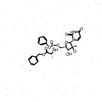 C[C@@H](N[P@@](=O)(OC[C@H]1O[C@@H](n2ccc(=O)[nH]c2=O)[C@](C)(Cl)[C@@H]1O)Oc1ccccc1)C(=O)OCc1ccccc1